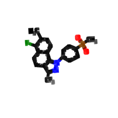 Cc1ccc2c(ccc3c(C(F)(F)F)nn(-c4ccc(S(C)(=O)=O)cc4)c32)c1F